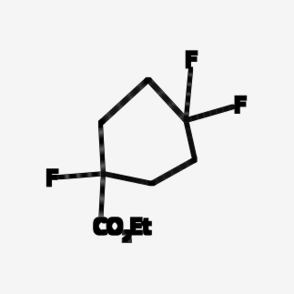 CCOC(=O)C1(F)CCC(F)(F)CC1